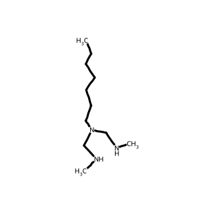 CCCCCCCN(CNC)CNC